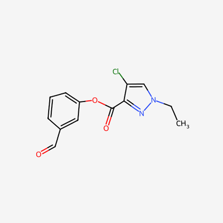 CCn1cc(Cl)c(C(=O)Oc2cccc(C=O)c2)n1